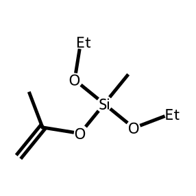 C=C(C)O[Si](C)(OCC)OCC